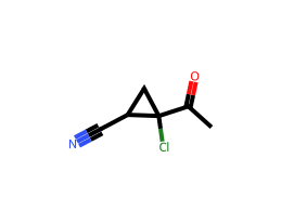 CC(=O)C1(Cl)CC1C#N